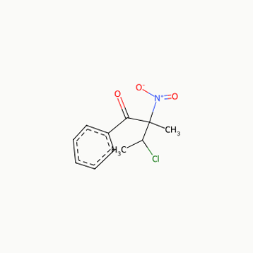 CC(Cl)C(C)(C(=O)c1ccccc1)[N+](=O)[O-]